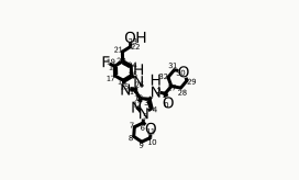 O=C(Nc1cn(C2CCCCO2)nc1-c1nc2cc(F)c(CCO)cc2[nH]1)C1CCOCC1